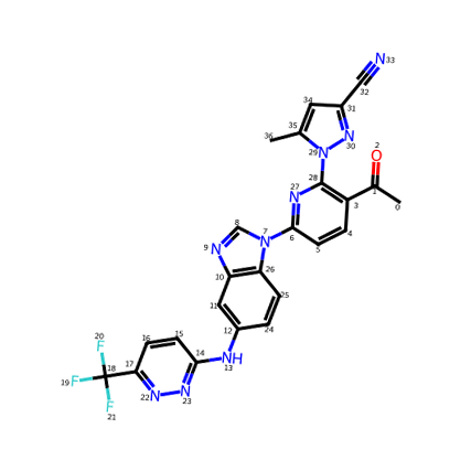 CC(=O)c1ccc(-n2cnc3cc(Nc4ccc(C(F)(F)F)nn4)ccc32)nc1-n1nc(C#N)cc1C